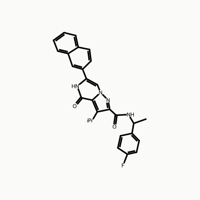 CC(C)c1c(C(=O)NC(C)c2ccc(F)cc2)nn2cc(-c3ccc4ccccc4c3)[nH]c(=O)c12